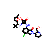 Cc1ccc([C@H](Nc2c(Nc3ccc(Cl)c4c3C(=O)N(c3cccnc3CO)C4)c(=O)c2=O)C(C)(C)C)o1